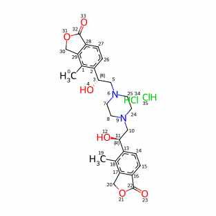 Cc1c([C@@H](O)CN2CCN(C[C@H](O)c3ccc4c(c3C)COC4=O)CC2)ccc2c1COC2=O.Cl.Cl